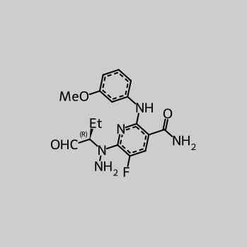 CC[C@H](C=O)N(N)c1nc(Nc2cccc(OC)c2)c(C(N)=O)cc1F